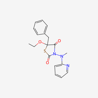 CCOC1(Cc2ccccc2)SC(=O)N(N(C)c2ccccn2)C1=O